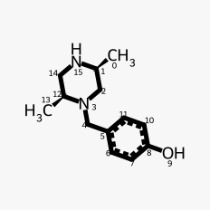 C[C@H]1CN(Cc2ccc(O)cc2)[C@@H](C)CN1